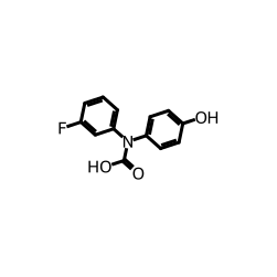 O=C(O)N(c1ccc(O)cc1)c1cccc(F)c1